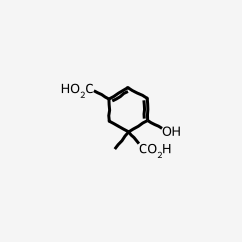 CC1(C(=O)O)CC(C(=O)O)=CC=C1O